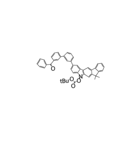 CC(C)(C)OC(=O)On1c2ccc(-c3cccc(-c4cccc(C(=O)c5ccccc5)c4)c3)cc2c2cc3c(cc21)C(C)(C)c1ccccc1-3